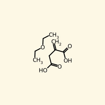 C=C(CC(=O)O)C(=O)O.CCOCC